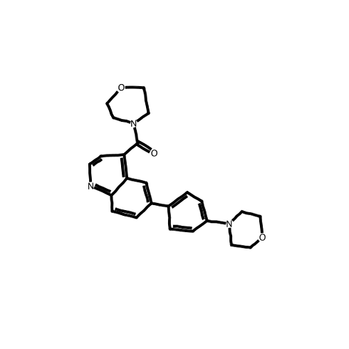 O=C(c1ccnc2ccc(-c3ccc(N4CCOCC4)cc3)cc12)N1CCOCC1